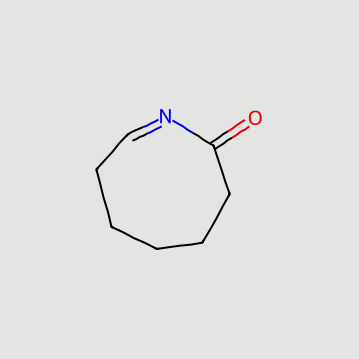 O=C1CCCCC/C=N\1